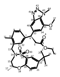 CCOC(=O)C[C@@H](c1ccc(C)c(CN2C[C@@H](C)Oc3ccc(C(C)(C)C)cc3S2(=O)=O)c1)c1cc(OC)c2c(c1)nnn2C